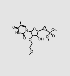 COCCOC1C(O)C(C2CC2P(=O)(OC)OC)OC1n1cc(C)c(=O)[nH]c1=O